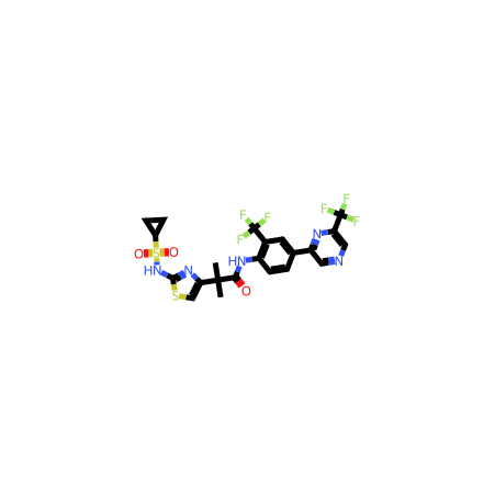 CC(C)(C(=O)Nc1ccc(-c2cncc(C(F)(F)F)n2)cc1C(F)(F)F)c1csc(NS(=O)(=O)C2CC2)n1